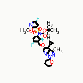 COc1ncc(F)cc1S(=O)(=O)N(C(=O)OC(C)(C)C)c1ccc(F)c(COc2cnc3c(c(C)nn3C3CCCCO3)c2C2CC2)c1F